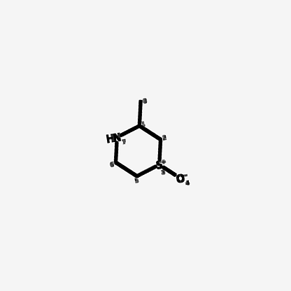 CC1C[S+]([O-])CCN1